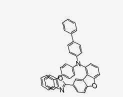 c1ccc(-c2ccc(N(c3ccc(-c4ccccc4)cc3)c3cccc4oc5ccc(-c6nc7ccccc7o6)cc5c34)cc2)cc1